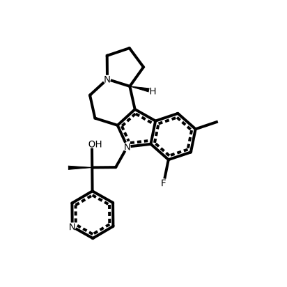 Cc1cc(F)c2c(c1)c1c(n2C[C@@](C)(O)c2cccnc2)CCN2CCC[C@H]12